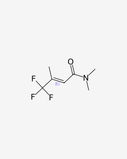 C/C(=C\C(=O)N(C)C)C(F)(F)F